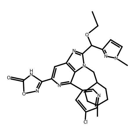 CCOC(c1ccn(C)n1)c1nc2cc(-c3noc(=O)[nH]3)nc(-c3cncc(Cl)c3)c2n1CC1CCC(C)CC1